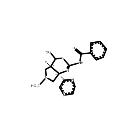 CC(C)(C)C1SC(NC(=O)c2ccccc2)=N[C@@]2(c3cnccn3)CN(C(=O)O)C[C@@H]12